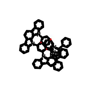 c1ccc(-c2nc(-c3ccccc3)nc(-c3ccc(-n4c5ccccc5c5ccc6c7ccccc7n(-c7ccccc7)c6c54)cc3-n3c4ccccc4c4ccc5c6ccccc6n(-c6ccccc6)c5c43)n2)cc1